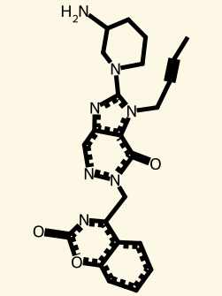 CC#CCn1c(N2CCCC(N)C2)nc2cnn(Cc3nc(=O)oc4ccccc34)c(=O)c21